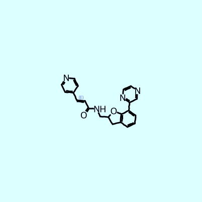 O=C(/C=C/c1ccncc1)NCC1Cc2cccc(-c3cnccn3)c2O1